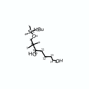 CC(C)(CO[Si](C)(C)C(C)(C)C)C(O)CCCCO